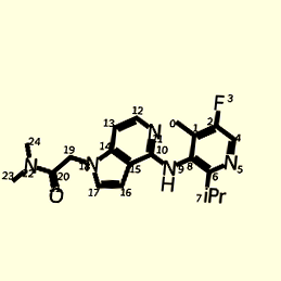 Cc1c(F)cnc(C(C)C)c1Nc1nccc2c1ccn2CC(=O)N(C)C